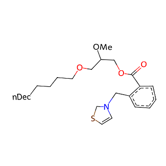 CCCCCCCCCCCCCCOCC(COC(=O)c1ccccc1CN1C=CSC1)OC